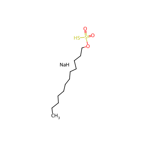 CCCCCCCCCCCCOS(=O)(=O)S.[NaH]